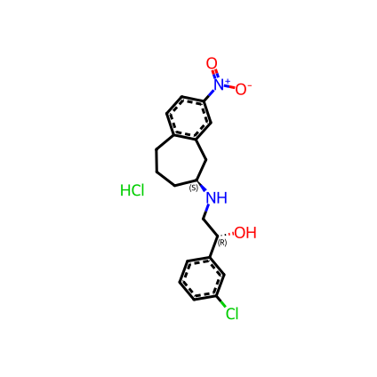 Cl.O=[N+]([O-])c1ccc2c(c1)C[C@@H](NC[C@H](O)c1cccc(Cl)c1)CCC2